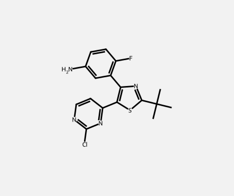 CC(C)(C)c1nc(-c2cc(N)ccc2F)c(-c2ccnc(Cl)n2)s1